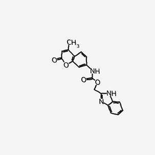 Cc1cc(=O)oc2cc(NC(=O)OCc3nc4ccccc4[nH]3)ccc12